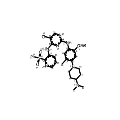 COc1cc(N2CCC(N(C)C)CC2)c(C)cc1Nc1ncc(Cl)c(Nc2cccnc2S(=O)(=O)C(C)C)n1